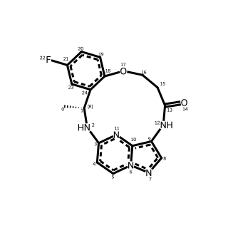 C[C@H]1Nc2ccn3ncc(c3n2)NC(=O)CCOc2ccc(F)cc21